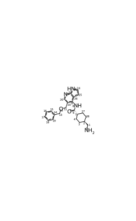 NC[C@H]1CC[C@H](C(=O)Nc2c(COCc3ccccc3)cnc3[nH]ccc23)CC1